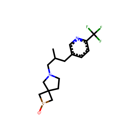 CC(Cc1ccc(C(F)(F)F)nc1)CN1CCC2(C1)C[S+]([O-])C2